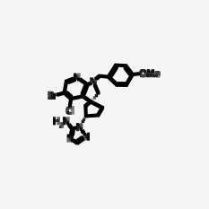 COc1ccc(CN2C[C@@]3(CC[C@H](n4ncnc4N)C3)c3c2ncc(Br)c3Cl)cc1